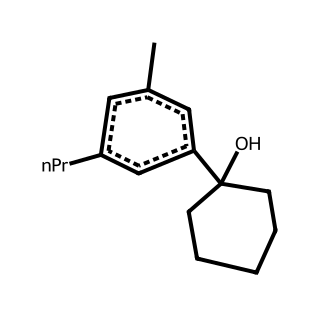 CCCc1cc(C)cc(C2(O)CCCCC2)c1